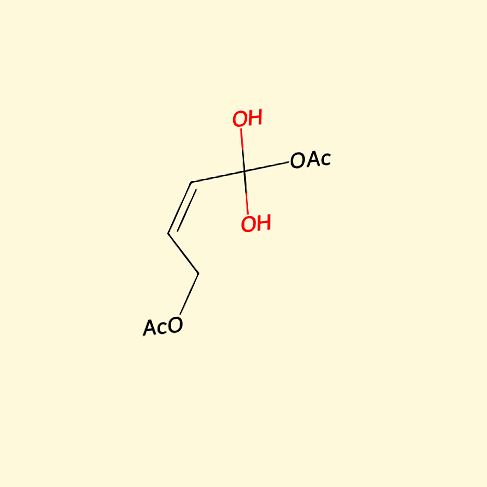 CC(=O)OC/C=C\C(O)(O)OC(C)=O